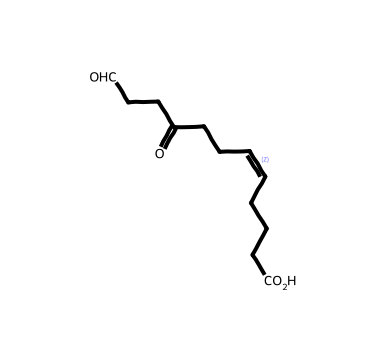 O=CCCC(=O)CC/C=C\CCCC(=O)O